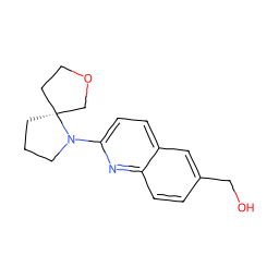 OCc1ccc2nc(N3CCC[C@@]34CCOC4)ccc2c1